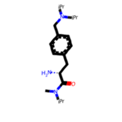 CC(C)N(C)C(=O)[C@H](N)Cc1ccc(CN(C(C)C)C(C)C)cc1